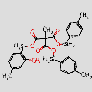 Cc1ccc([SiH2]OC(=O)C(C)(C(=O)O[SiH2]c2ccc(C)cc2)C(=O)O[SiH2]c2ccc(C)cc2O)cc1